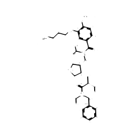 CC[C@H](C[C@@H]1CNC[C@H]1CN(C(=O)c1ccc(OC)c(OCCCOC)c1)C(C)C)C(=O)N(CC)Cc1ccccc1